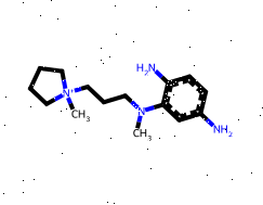 CN(CCC[N+]1(C)CCCC1)c1cc(N)ccc1N